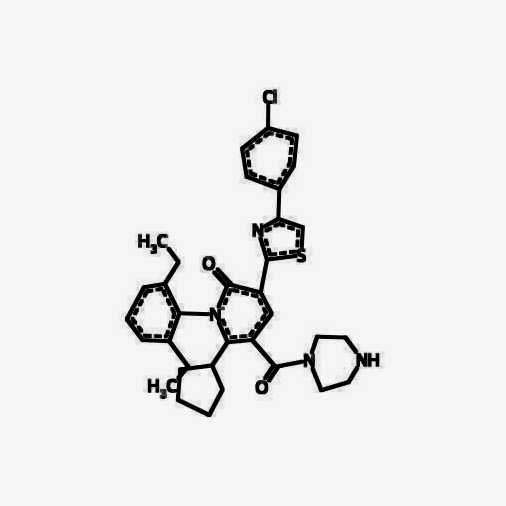 CCc1cccc(CC)c1-n1c(C2CCCC2)c(C(=O)N2CCNCC2)cc(-c2nc(-c3ccc(Cl)cc3)cs2)c1=O